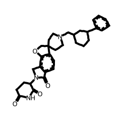 O=C1CCC(N2Cc3c(ccc4c3OCC43CCN(CC4CCCC(c5ccccc5)C4)CC3)C2=O)C(=O)N1